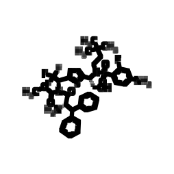 COC(=O)N(C(=O)[C@@H](N)C(c1ccccc1)c1ccccc1)[C@H](c1ccc([C@@H](CO)N(CCC(C)(C)C)S(=O)(=O)c2ccc(N)cc2F)s1)C(F)(F)F